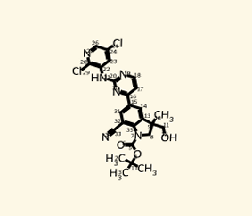 CC(C)(C)OC(=O)N1CC(C)(CO)c2cc(-c3ccnc(Nc4cc(Cl)cnc4Cl)n3)cc(C#N)c21